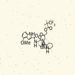 COc1cccc2[nH]c(C(=O)N[C@@H](CC(C)(C)C)C(=O)N[C@@H](C[C@@H]3CCCNC3=O)C(=O)COC(=O)C(C)(C)C(F)(F)F)cc12